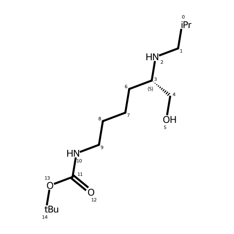 CC(C)CN[C@H](CO)CCCCNC(=O)OC(C)(C)C